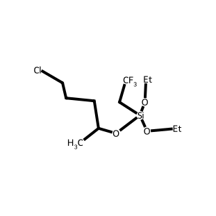 CCO[Si](CC(F)(F)F)(OCC)OC(C)CCCCl